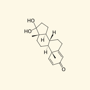 C[C@]12C=CC(=O)C=C1CC[C@@H]1[C@@H]2CC[C@@]2(C)[C@H]1CCC2(O)O